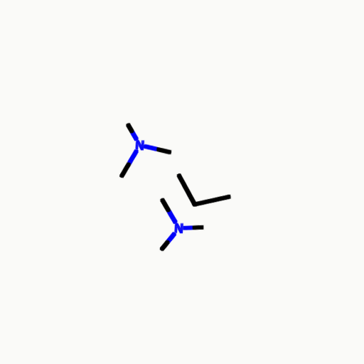 CCC.CN(C)C.CN(C)C